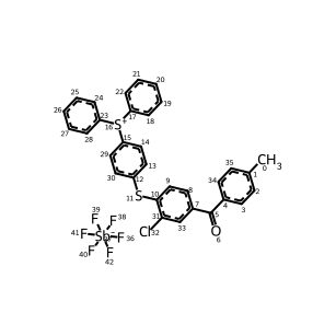 Cc1ccc(C(=O)c2ccc(Sc3ccc([S+](c4ccccc4)c4ccccc4)cc3)c(Cl)c2)cc1.[F][Sb-]([F])([F])([F])([F])[F]